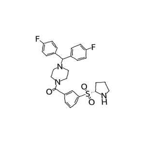 O=C(c1cccc(S(=O)(=O)[C@@H]2CCCN2)c1)N1CCN(C(c2ccc(F)cc2)c2ccc(F)cc2)CC1